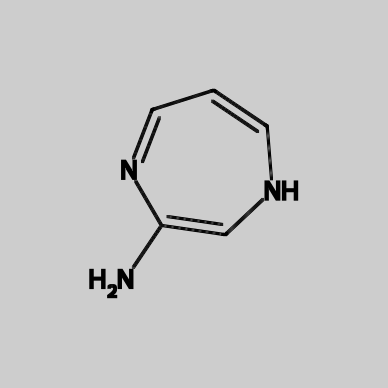 NC1=CNC=CC=N1